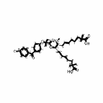 CO[C@@H](CCCCCCC(C)(C)C(=O)O)[C@H](CCCCCCC(C)(C)C(=O)O)OC(=O)C(C)(C)Oc1ccc(C(=O)c2ccc(Cl)cc2)cc1